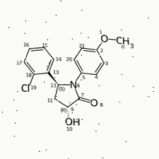 COc1ccc(N2C(=O)[C@H](O)C[C@H]2c2ccccc2Cl)cc1